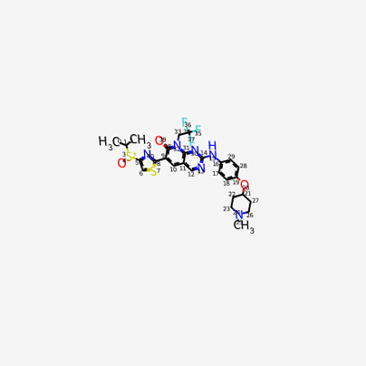 CC(C)[S+]([O-])c1csc(-c2cc3cnc(Nc4ccc(OC5CCN(C)CC5)cc4)nc3n(CC(F)(F)F)c2=O)n1